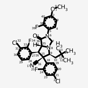 COc1ccc(N2CN3[C@@H](CC(C)(C)C)[C@](C#N)(c4ccc(Cl)cc4F)[C@@H](c4cccc(Cl)c4F)[C@@H]3C2=O)c(F)c1